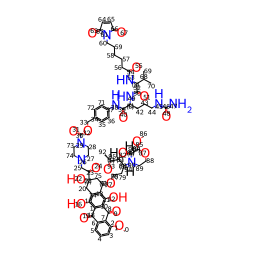 COc1cccc2c1C(=O)c1c(O)c3c(c(O)c1C2=O)C[C@@](O)(C(=O)CN1CCN(C(=O)OCc2ccc(NC(=O)[C@H](CCCNC(N)=O)NC(=O)[C@@H](NC(=O)CCCCCN4C(=O)C=CC4=O)C(C)C)cc2)CC1)C[C@@H]3O[C@H]1C[C@H]2[C@H](O[C@@H]3[C@@H](OC)OCCN32)[C@H](C)O1